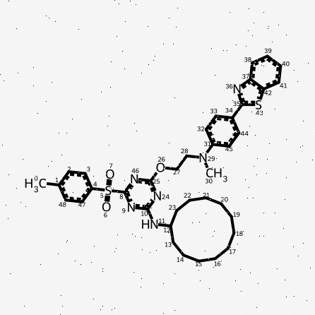 Cc1ccc(S(=O)(=O)c2nc(NC3CCCCCCCCCCC3)nc(OCCN(C)c3ccc(-c4nc5ccccc5s4)cc3)n2)cc1